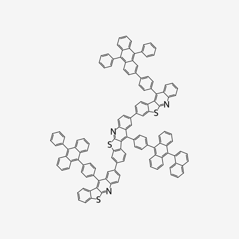 c1ccc(-c2c3ccccc3c(-c3ccc(-c4c5cc(-c6ccc7c(c6)sc6nc8ccc(-c9ccc%10c(c9)sc9nc%11ccccc%11c(-c%11ccc(-c%12ccc%13c(-c%14ccccc%14)c%14ccccc%14c(-c%14ccccc%14)c%13c%12)cc%11)c9%10)cc8c(-c8ccc(-c9c%10ccccc%10c(-c%10cccc%11ccccc%10%11)c%10ccccc9%10)cc8)c67)ccc5nc5sc6ccccc6c45)cc3)c3ccccc23)cc1